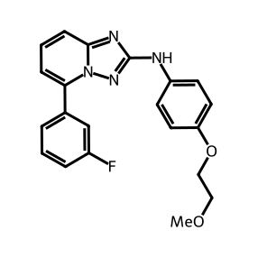 COCCOc1ccc(Nc2nc3cccc(-c4cccc(F)c4)n3n2)cc1